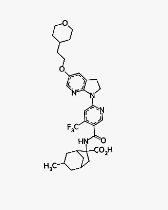 CC1CC2CC(C1)C(NC(=O)c1cnc(N3CCc4cc(OCCC5CCOCC5)cnc43)cc1C(F)(F)F)(C(=O)O)C2